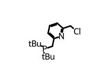 CC(C)(C)P(Cc1cccc(CCl)n1)C(C)(C)C